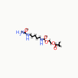 C=C(C)C(=O)OCCOC(=O)NCCCCCNC(N)=O